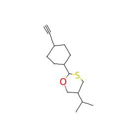 C#CC1CCC(C2OCC(C(C)C)CS2)CC1